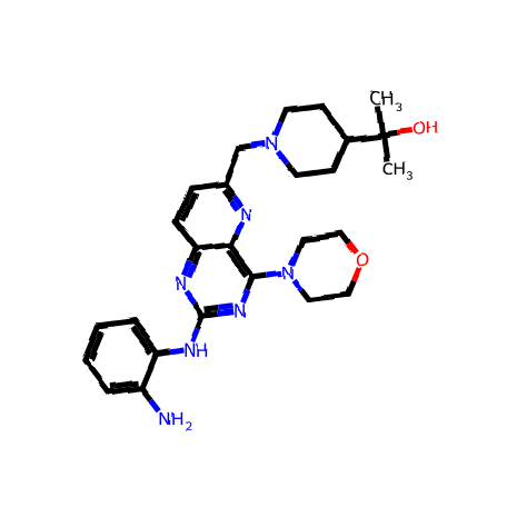 CC(C)(O)C1CCN(Cc2ccc3nc(Nc4ccccc4N)nc(N4CCOCC4)c3n2)CC1